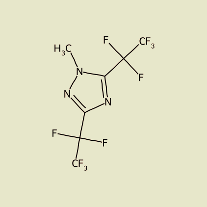 Cn1nc(C(F)(F)C(F)(F)F)nc1C(F)(F)C(F)(F)F